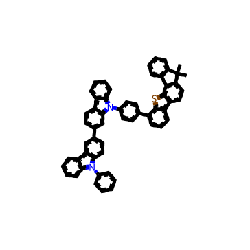 CC1(C)c2ccccc2-c2c1ccc1c2sc2c(-c3ccc(-n4c5ccccc5c5ccc(-c6ccc7c(c6)c6ccccc6n7-c6ccccc6)cc54)cc3)cccc21